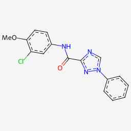 COc1ccc(NC(=O)c2ncn(-c3ccccc3)n2)cc1Cl